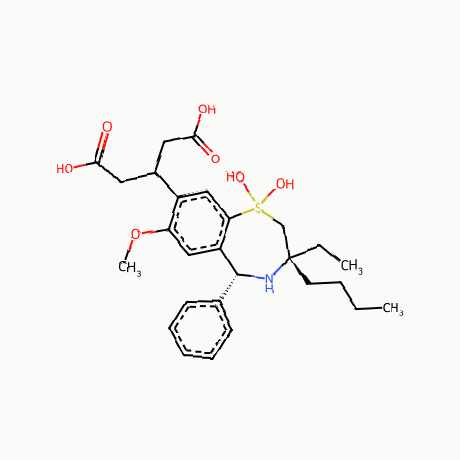 CCCC[C@]1(CC)CS(O)(O)c2cc(C(CC(=O)O)CC(=O)O)c(OC)cc2[C@@H](c2ccccc2)N1